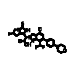 O=C(O)C(c1[nH]c(=S)n2c1CC(F)C2)n1cc2c(Cl)cc(-c3ccc(N4CCOCC4)cc3)c(C(F)F)c2n1